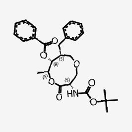 C[C@@H]1OC(=O)[C@@H](NC(=O)OC(C)(C)C)COC[C@H](Cc2ccccc2)[C@H]1OC(=O)c1ccccc1